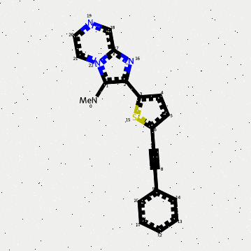 CNc1c(-c2ccc(C#Cc3ccccc3)s2)nc2cnccn12